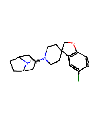 CCOC(=O)N1C2CCC1CC(N1CCC3(CC1)COc1ccc(F)cc13)C2